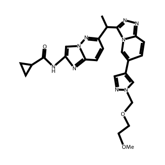 COCCOCn1cc(-c2ccc3nnc(C(C)c4ccc5nc(NC(=O)C6CC6)cn5n4)n3c2)cn1